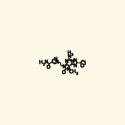 Cn1c(=O)n(CCn2cc(C(N)=O)cn2)c2nc(N)n3nc(-c4ccco4)nc3c21